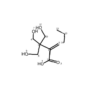 C=C(C(=O)O)C(CO)(CO)CO.CCC